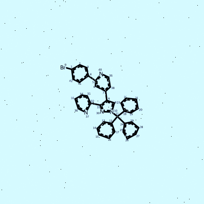 Brc1ccc(-c2cc(-c3cn(C(c4ccccc4)(c4ccccc4)c4ccccc4)nc3-c3ccccn3)ccn2)cc1